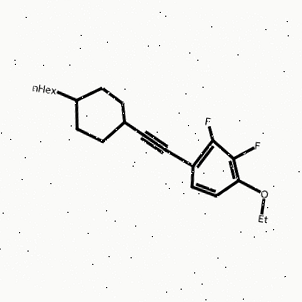 CCCCCCC1CCC(C#Cc2ccc(OCC)c(F)c2F)CC1